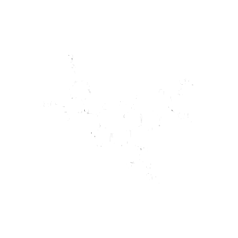 COC(=O)Nc1cc2onc(C(=O)Nc3ccc(C#N)cc3C(=O)O)c2cc1-c1ccc(N(C)C(=O)OC)cc1C(F)(F)F